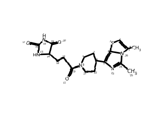 Cc1csc2c(C3CCN(C(=O)CCC4NC(=O)NC4=O)CC3)nc(C)n12